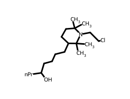 CCCC(O)CCCCC1CCC(C)(C)N(CCCl)C1(C)C